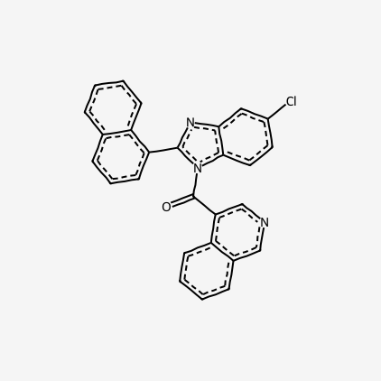 O=C(c1cncc2ccccc12)n1c(-c2cccc3ccccc23)nc2cc(Cl)ccc21